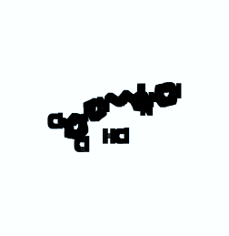 Cc1c(C=CCN2CCN(c3cc(Cl)cc(Cl)c3)CC2)cnn1-c1ccncc1.Cl